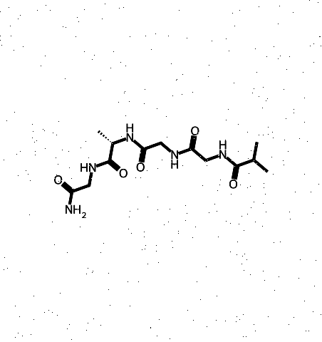 CC(C)C(=O)NCC(=O)NCC(=O)N[C@@H](C)C(=O)NCC(N)=O